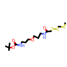 CSCSSCC(=O)NCCCOCCCNC(=O)OC(C)(C)C